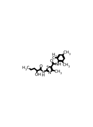 CCCC(O)C(=O)Nc1nc(C)c(C(=O)Nc2c(C)cc(C)cc2C)s1